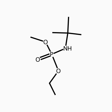 CCOP(=O)(NC(C)(C)C)OC